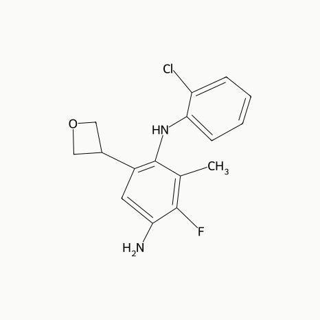 Cc1c(F)c(N)cc(C2COC2)c1Nc1ccccc1Cl